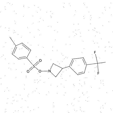 Cc1ccc(S(=O)(=O)ON2CC(c3ccc(C(C)(F)F)cc3)C2)cc1